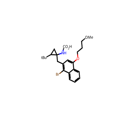 COCCCOc1cc(CC2(NC(=O)O)CC2C(C)(C)C)c(Br)c2ccccc12